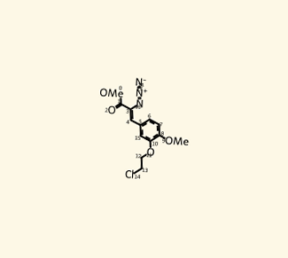 COC(=O)C(=Cc1ccc(OC)c(OCCCl)c1)N=[N+]=[N-]